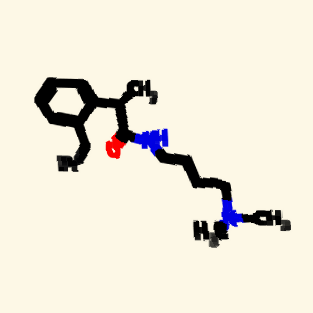 CC(C)Cc1ccccc1[C@@H](C)C(=O)NCCCCN(C)C